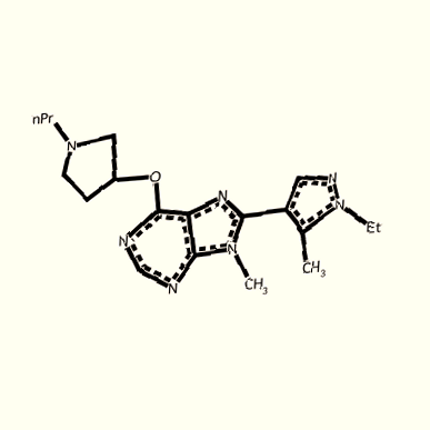 CCCN1CCC(Oc2ncnc3c2nc(-c2cnn(CC)c2C)n3C)C1